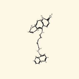 O=c1ccc2c(OCCCCOc3cccc4ccccc34)c3ccoc3cc2o1